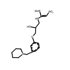 CNC(=C[N+](=O)[O-])NCC(O)COc1cccc(CN2CCCCC2)c1